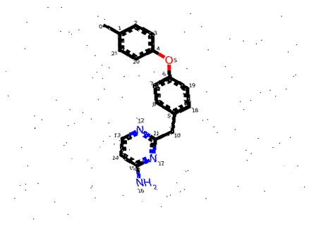 Cc1ccc(Oc2ccc(Cc3nccc(N)n3)cc2)cc1